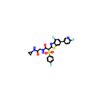 O=C(CNC(=O)C(c1nc2c(F)cc(-c3ccc(F)nc3)cc2s1)S(=O)(=O)c1ccc(F)cc1)NC1CC1